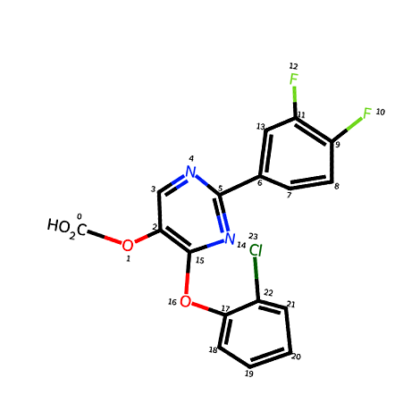 O=C(O)Oc1cnc(-c2ccc(F)c(F)c2)nc1Oc1ccccc1Cl